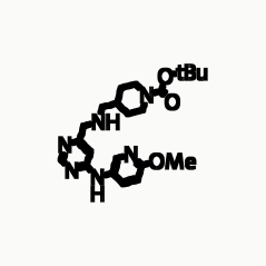 COc1ccc(Nc2cc(CNCC3CCN(C(=O)OC(C)(C)C)CC3)ncn2)cn1